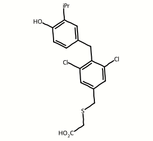 CC(C)c1cc(Cc2c(Cl)cc(CSCC(=O)O)cc2Cl)ccc1O